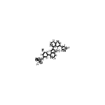 Cn1cc(-c2cnc3c(c2)C(c2cc4c(-c5cc(F)cc(CNS(C)(=O)=O)c5)nccc4[nH]2)=NCC3)cn1